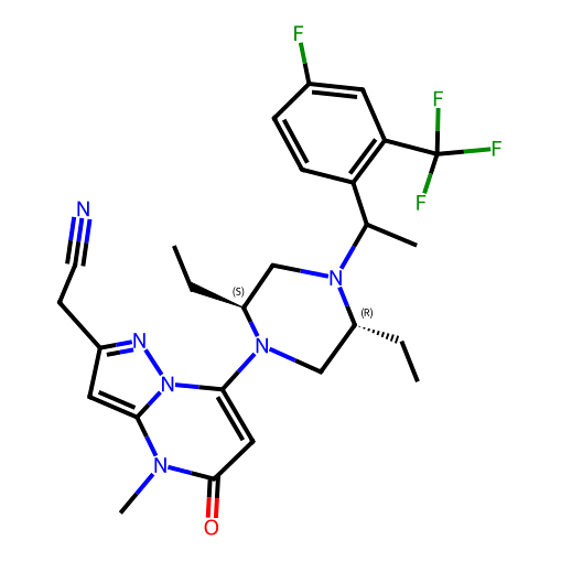 CC[C@H]1CN(C(C)c2ccc(F)cc2C(F)(F)F)[C@H](CC)CN1c1cc(=O)n(C)c2cc(CC#N)nn12